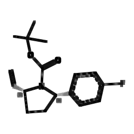 C=C[C@H]1CC[C@@H](c2ccc(F)cc2)N1C(=O)OC(C)(C)C